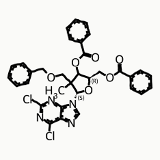 CC1(COCc2ccccc2)C(OC(=O)c2ccccc2)[C@@H](COC(=O)c2ccccc2)O[C@@H]1n1cnc2c(Cl)nc(Cl)nc21